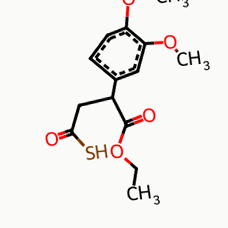 CCOC(=O)C(CC(=O)S)c1ccc(OC)c(OC)c1